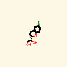 OCC(O)[C@@H]1CCc2cc(F)ccc2O1